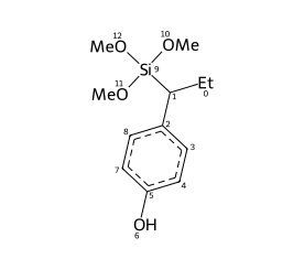 CCC(c1ccc(O)cc1)[Si](OC)(OC)OC